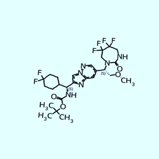 COC[C@H](c1cnn2cc([C@@H](NC(=O)OC(C)(C)C)C3CCC(F)(F)CC3)nc2c1)N1CC(F)(F)C(F)(F)CNC1=O